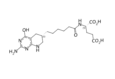 Nc1nc(O)c2c(n1)NC[C@@H](CCCCCC(=O)N[C@@H](CCC(=O)O)C(=O)O)C2